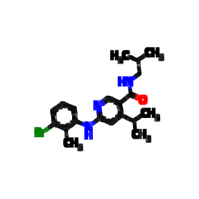 Cc1c(Br)cccc1Nc1cc(C(C)C)c(C(=O)NCC(C)C)cn1